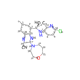 Cc1cc([C@@H](C)Nc2ccc(Cl)nc2C(=O)O)c2nc(N3CCCOCC3)c(C#N)nc2c1